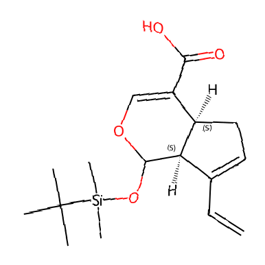 C=CC1=CC[C@@H]2C(C(=O)O)=COC(O[Si](C)(C)C(C)(C)C)[C@H]12